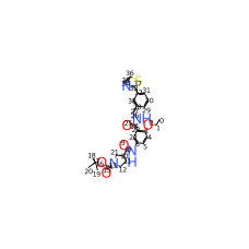 CCOc1ccc(NC(=O)C2CCN(C(=O)OC(C)(C)C)C2)cc1C(=O)NCc1cccc(-c2nccs2)c1